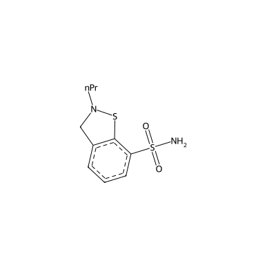 CCCN1Cc2cccc(S(N)(=O)=O)c2S1